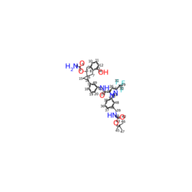 CC(OC(N)=O)C1(Cc2ccccc2O)CC1c1cccc(NC(=O)c2cc(C(F)(F)F)nn2-c2cccc(CNC(=O)OC(C)(C)C)c2)c1